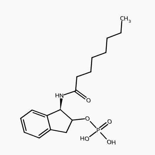 CCCCCCCC(=O)N[C@@H]1c2ccccc2CC1OP(=O)(O)O